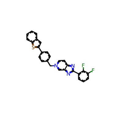 Fc1cccc(-c2nc3ccn(Cc4ccc(-c5cc6ccccc6s5)cc4)cc-3n2)c1F